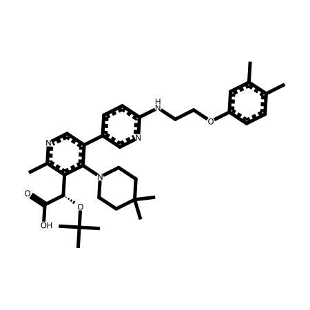 Cc1ccc(OCCNc2ccc(-c3cnc(C)c([C@H](OC(C)(C)C)C(=O)O)c3N3CCC(C)(C)CC3)cn2)cc1C